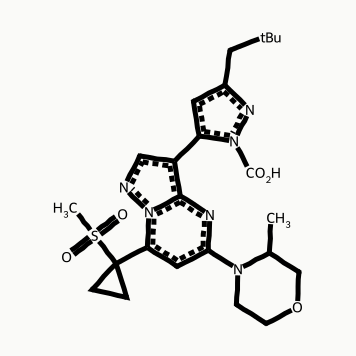 CC1COCCN1c1cc(C2(S(C)(=O)=O)CC2)n2ncc(-c3cc(CC(C)(C)C)nn3C(=O)O)c2n1